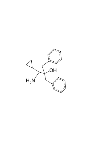 NC(C1CC1)C(O)(Cc1ccccc1)Cc1ccccc1